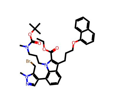 CCOC(=O)c1c(CCCOc2cccc3ccccc23)c2cccc(-c3cnn(C)c3CBr)c2n1CCCN(C)C(=O)OC(C)(C)C